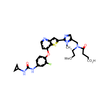 COCCN(Cc1cnc(-c2cc3nccc(Oc4ccc(NC(=O)NC5CC5)cc4F)c3s2)n1C)C(=O)CCC(=O)O